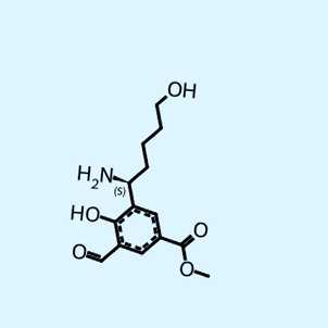 COC(=O)c1cc(C=O)c(O)c([C@@H](N)CCCCO)c1